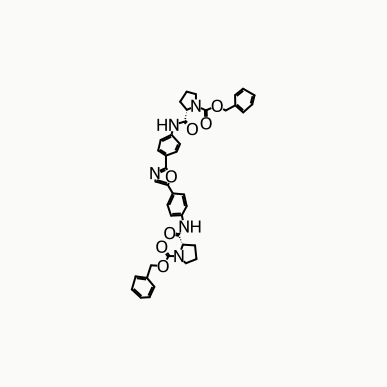 O=C(Nc1ccc(-c2cnc(-c3ccc(NC(=O)[C@@H]4CCCN4C(=O)OCc4ccccc4)cc3)o2)cc1)[C@@H]1CCCN1C(=O)OCc1ccccc1